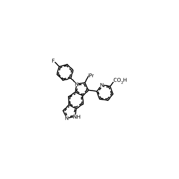 CC(C)c1c(-c2cccc(C(=O)O)n2)c2cc3[nH]ncc3cc2n1-c1ccc(F)cc1